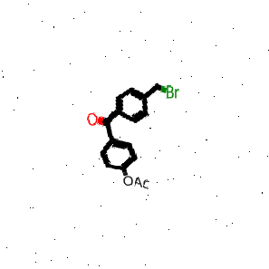 CC(=O)Oc1ccc(C(=O)c2ccc(CBr)cc2)cc1